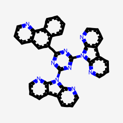 c1cnc2c(c1)cc(-c1nc(-n3c4ncccc4c4cccnc43)nc(-n3c4ncccc4c4cccnc43)n1)c1ccccc12